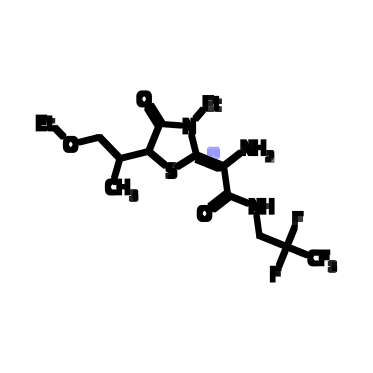 CCOCC(C)C1S/C(=C(/N)C(=O)NCC(F)(F)C(F)(F)F)N(CC)C1=O